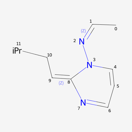 C/C=N\N1C=CC=N/C1=C/CC(C)C